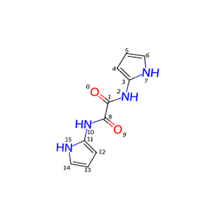 O=C(Nc1ccc[nH]1)C(=O)Nc1ccc[nH]1